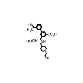 Cl.Cl.N=CCN1CCC(CNCc2cc(C(=O)O)cc(-c3cccc(C(=N)N)c3)c2)CC1